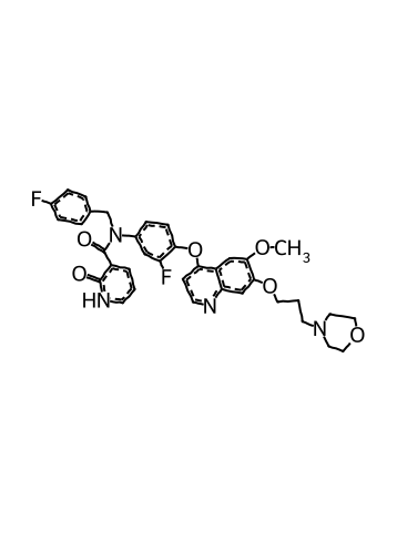 COc1cc2c(Oc3ccc(N(Cc4ccc(F)cc4)C(=O)c4ccc[nH]c4=O)cc3F)ccnc2cc1OCCCN1CCOCC1